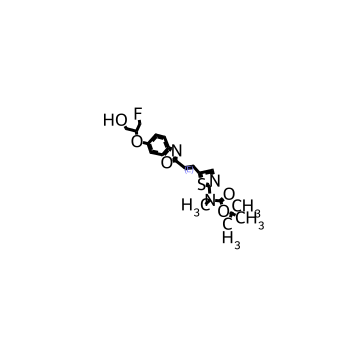 CN(C(=O)OC(C)(C)C)c1ncc(/C=C/c2nc3ccc(OC(CO)CF)cc3o2)s1